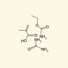 C=C(C)C(=O)O.CCOC(N)=O.NC(N)=O